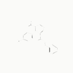 O=C(OCc1ccccc1)C1=CN=CC(C(=O)O)C1c1ccc(C(F)(F)F)cc1